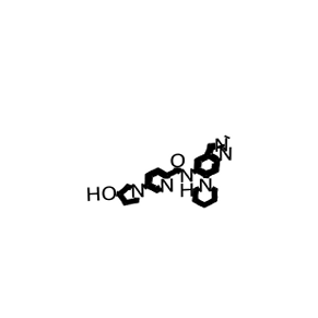 Cn1cc2cc(NC(=O)c3ccc(N4CCC(O)C4)cn3)c(N3CCCCC3)cc2n1